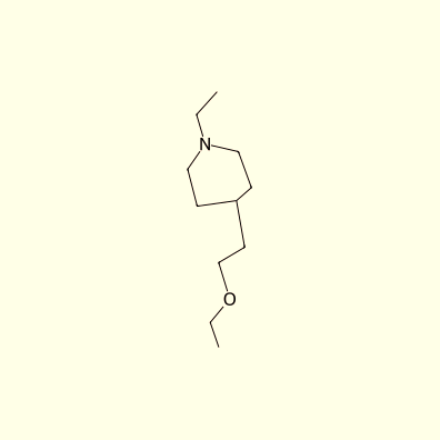 CCOCCC1CCN(CC)CC1